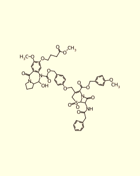 COC(=O)CCCOc1cc2c(cc1OC)C(=O)N1CCCC1C(O)N2C(=O)OCc1ccc(OCC2=C(C(=O)OCc3ccc(OC)cc3)N3C(=O)C(NC(=O)Cc4ccccc4)C3S(=O)(=O)C2)cc1